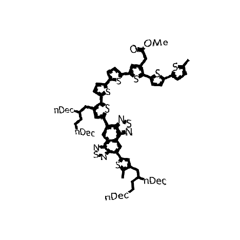 CCCCCCCCCCCCC(CCCCCCCCCC)Cc1cc(-c2cc3c(cc(-c4cc(CC(CCCCCCCCCC)CCCCCCCCCCCC)c(-c5ccc(-c6ccc(-c7cc(CC(=O)OC)c(-c8ccc(-c9ccc(C)s9)s8)s7)s6)s5)s4)c4nsnc43)c3nsnc23)sc1C